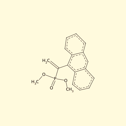 C=C(c1c2ccccc2cc2ccccc12)P(=O)(OC)OC